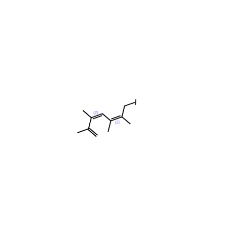 C=C(C)/C(C)=C\C(C)=C(\C)CI